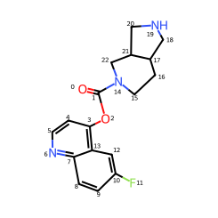 O=C(Oc1ccnc2ccc(F)cc12)N1CCC2CNCC2C1